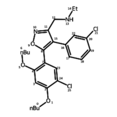 CCCCOc1cc(OCCCC)c(-c2onc(CNCC)c2-c2cccc(Cl)c2)cc1Cl